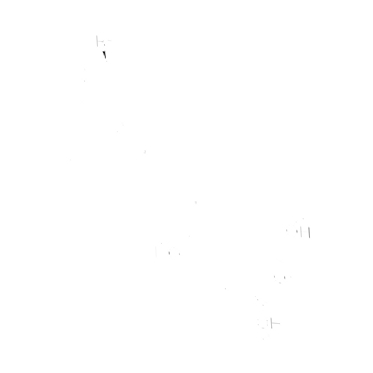 CC1=CCC2C(C)(C)[C@@H](Br)CCC2(C)[C@@H]1C/C(C)=C/C(O)=C(\C=C\O)CC(=O)O